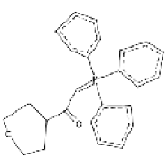 O=C(C=P(c1ccccc1)(c1ccccc1)c1ccccc1)C1CCCCC1